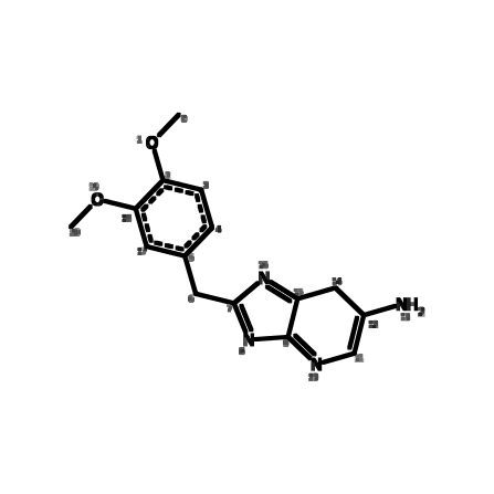 COc1ccc(CC2=NC3=NC=C(N)CC3=N2)cc1OC